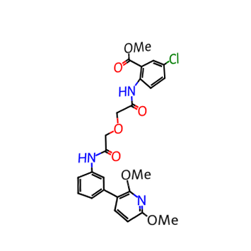 COC(=O)c1cc(Cl)ccc1NC(=O)COCC(=O)Nc1cccc(-c2ccc(OC)nc2OC)c1